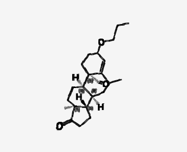 CCCOC1C=C2C(C)C[C@@H]3[C@@H](CC[C@]4(C)C(=O)CC[C@@H]34)[C@@]2(C=O)CC1